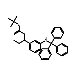 CCC(CC(=O)OC(C)(C)C)c1cccc(NC(c2ccccc2)(c2ccccc2)c2ccccc2)c1